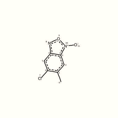 Cc1cc2c(cc1Cl)no[n+]2[O-]